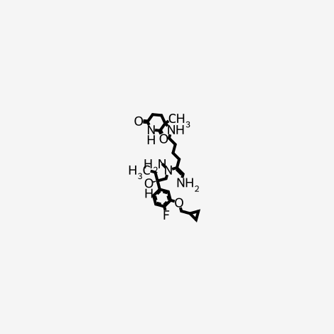 CC[C@@](O)(CN(N)/C(=C\N)CCCCNC1(C)CCC(=O)NC1=O)c1ccc(F)c(OCC2CC2)c1